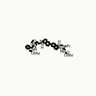 C=C(N[C@@H](C(=O)N(C)CC1(CCc2nc3c([nH]2)C2C=CC(C4C=c5ccc6nc(CN(CCC)C(=O)CNC(=O)OC)[nH]c6c5=CC4)=CC2CC3)OCCO1)c1ccccc1)OC